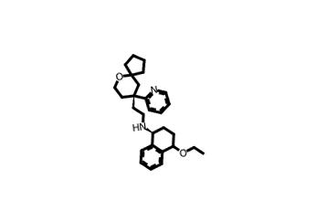 CCOC1CC[C@H](NCC[C@@]2(c3ccccn3)CCOC3(CCCC3)C2)c2ccccc21